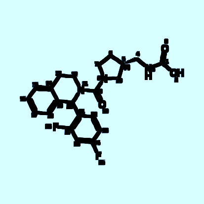 O=C(O)NC[C@H]1CCN(C(=O)N2CCc3ccccc3C2c2ccc(F)cc2F)C1